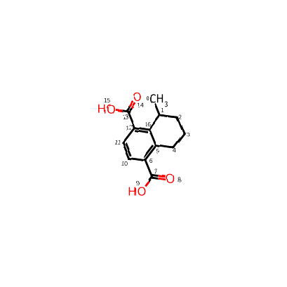 CC1CCCc2c(C(=O)O)ccc(C(=O)O)c21